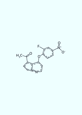 CC(=O)c1ccn2nccc(Oc3ccc([N+](=O)[O-])cc3F)c12